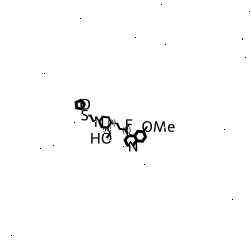 COc1ccc2nccc([C@H](F)CC[C@@H]3CCN(CCSc4ccco4)C[C@@H]3CO)c2c1